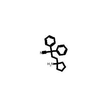 N#CC(CCC1(N)CCCC1)(c1ccccc1)c1ccccc1